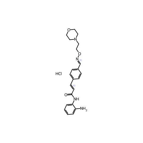 Cl.Nc1ccccc1NC(=O)/C=C/c1ccc(/C=N/OCCN2CCOCC2)cc1